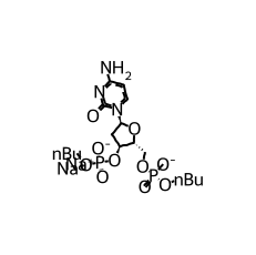 CCCCOP(=O)([O-])OC[C@H]1O[C@H](n2ccc(N)nc2=O)C[C@@H]1OP(=O)([O-])OCCCC.[Na+].[Na+]